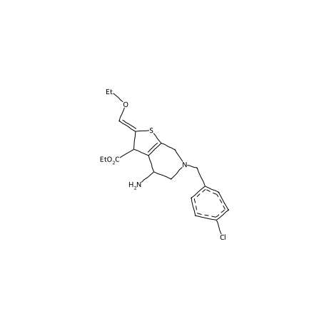 CCOC=C1SC2=C(C(N)CN(Cc3ccc(Cl)cc3)C2)C1C(=O)OCC